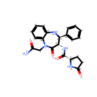 NC(=O)CN1C(=O)[C@@H](NC(=O)[C@@H]2CCC(=O)N2)[C@H](c2ccccc2)Nc2ccccc21